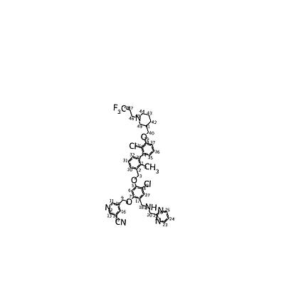 Cc1c(COc2cc(OCc3cncc(C#N)c3)c(CNCc3ncccn3)cc2Cl)cccc1-c1cccc(OCC2CCCN(CCC(F)(F)F)C2)c1Cl